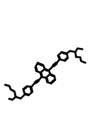 CCCCC(CC)Cc1ccc(C#Cc2c3ccccc3c(C#Cc3ccc(CC(CC)CCCC)cc3)c3ccccc23)cc1